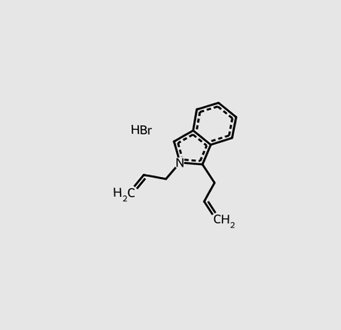 Br.C=CCc1c2ccccc2cn1CC=C